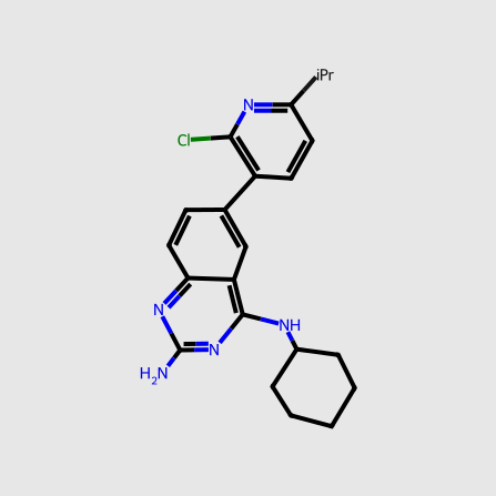 CC(C)c1ccc(-c2ccc3nc(N)nc(NC4CCCCC4)c3c2)c(Cl)n1